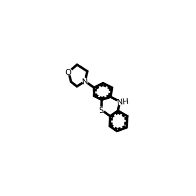 c1ccc2c(c1)Nc1ccc(N3CCOCC3)cc1S2